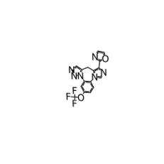 FC(F)(F)Oc1ccc2c(c1)-n1nncc1Cc1c(-c3ncco3)ncn1-2